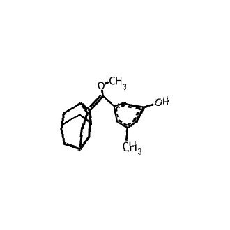 COC(=C1C2CC3CC(C2)CC1C3)c1cc(C)cc(O)c1